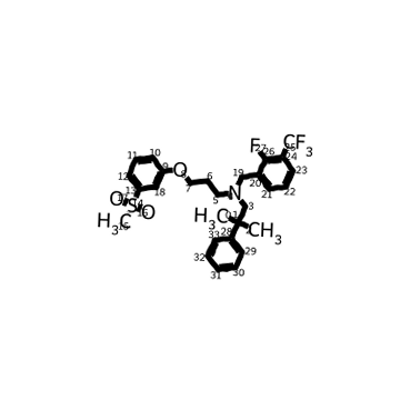 CC(C)(CN(CCCOc1cccc(S(C)(=O)=O)c1)Cc1cccc(C(F)(F)F)c1F)c1ccccc1